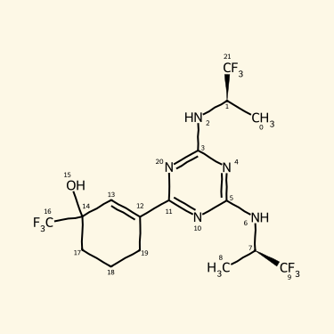 C[C@@H](Nc1nc(N[C@H](C)C(F)(F)F)nc(C2=CC(O)(C(F)(F)F)CCC2)n1)C(F)(F)F